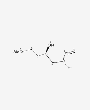 C=C[C@H](C)C[C@H](O)CCOC